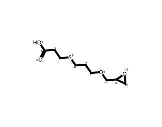 O=C(O)CCSCCCOCC1CO1